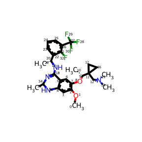 COc1cc2c(cc1O[C@H](C)C1(CN(C)C)CC1)C(N[C@H](C)c1cccc(C(F)(F)F)c1F)=NC(C)N2